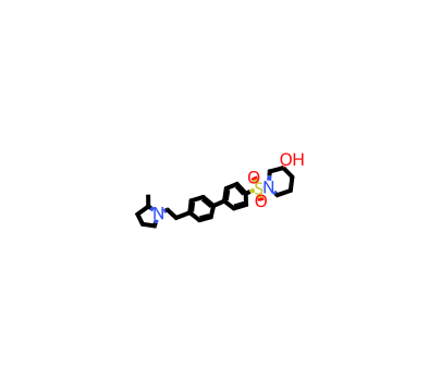 CC1CCCN1CCc1ccc(-c2ccc(S(=O)(=O)N3CCCC(O)C3)cc2)cc1